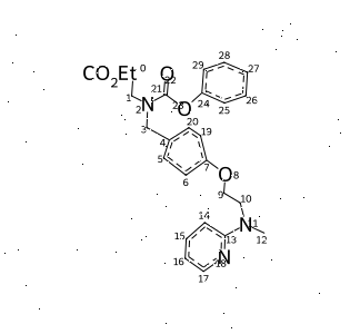 CCOC(=O)CN(Cc1ccc(OCCN(C)c2ccccn2)cc1)C(=O)Oc1ccccc1